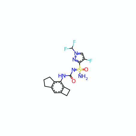 N[S@@](=O)(=NC(=O)Nc1c2c(cc3c1CC3)CCC2)c1nn(C(F)F)cc1F